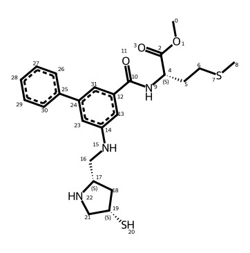 COC(=O)[C@H](CCSC)NC(=O)c1cc(NC[C@@H]2C[C@H](S)CN2)cc(-c2ccccc2)c1